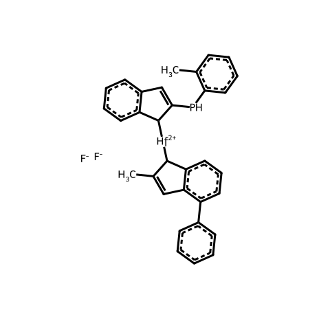 CC1=Cc2c(-c3ccccc3)cccc2[CH]1[Hf+2][CH]1C(Pc2ccccc2C)=Cc2ccccc21.[F-].[F-]